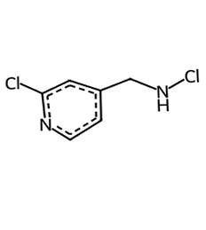 ClNCc1ccnc(Cl)c1